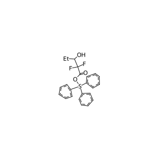 CCC(O)C(F)(F)C(=O)OS(c1ccccc1)(c1ccccc1)c1ccccc1